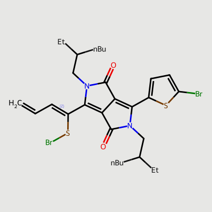 C=C/C=C(\SBr)C1=C2C(=O)N(CC(CC)CCCC)C(c3ccc(Br)s3)=C2C(=O)N1CC(CC)CCCC